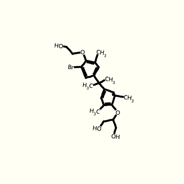 Cc1cc(C(C)(C)c2cc(C)c(OCCO)c(Br)c2)cc(C)c1OC(CO)CO